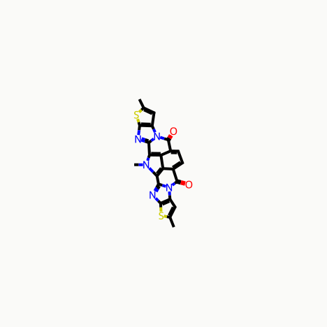 Cc1cc2c(nc3c4c5c(ccc6c(=O)n7c8cc(C)sc8nc7c(c65)n4C)c(=O)n23)s1